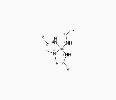 CCN[Si](NCC)(NCC)N(C)C